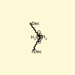 CCCCCCCCCCCCCCCCCC(=O)CC(=O)[N+](C)(C)C(=O)CC(=O)CCCCCCCCCCCCCCCCC.[Cl-]